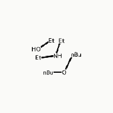 CCCCOCCCC.CCNCC.CCO